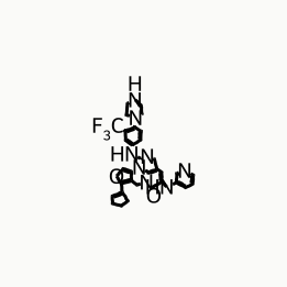 O=c1c(Nc2cccnc2)cc2cnc(Nc3ccc(N4CCNCC4)c(C(F)(F)F)c3)nc2n1Cc1ccoc1C1=CCCC1